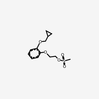 CS(=O)(=O)OCCOc1ccccc1OCC1CC1